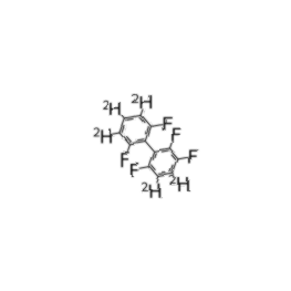 [2H]c1c([2H])c(F)c(-c2c(F)c([2H])c([2H])c(F)c2F)c(F)c1[2H]